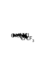 Cc1cc(NC(=O)c2cnn(-c3c(Cl)cc(C(F)(F)F)cc3Cl)c2C)cnc1C1=CCC(N2CCOCC2)CC1